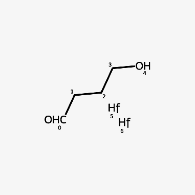 O=CCCCO.[Hf].[Hf]